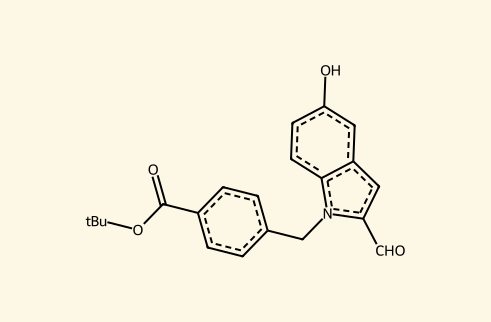 CC(C)(C)OC(=O)c1ccc(Cn2c(C=O)cc3cc(O)ccc32)cc1